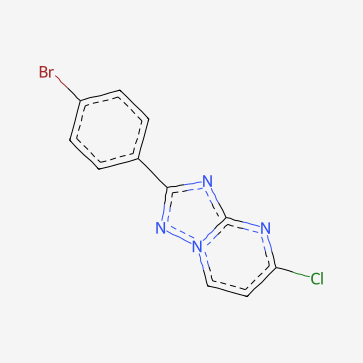 Clc1ccn2nc(-c3ccc(Br)cc3)nc2n1